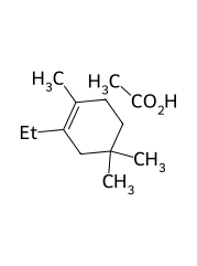 CC(=O)O.CCC1=C(C)CCC(C)(C)C1